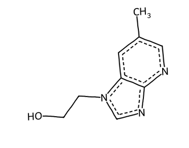 Cc1cnc2ncn(CCO)c2c1